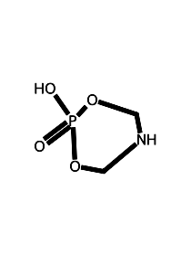 O=P1(O)OCNCO1